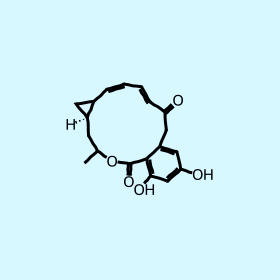 CC1C[C@H]2CC2/C=C\C=C\C(=O)Cc2cc(O)cc(O)c2C(=O)O1